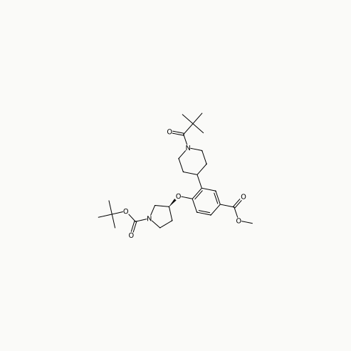 COC(=O)c1ccc(O[C@H]2CCN(C(=O)OC(C)(C)C)C2)c(C2CCN(C(=O)C(C)(C)C)CC2)c1